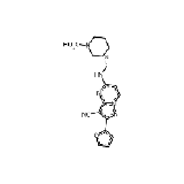 N#Cc1c(-c2ccco2)nn2ccc(NC[C@H]3CCCN(C(=O)O)C3)nc12